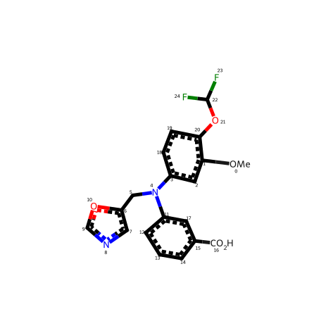 COc1cc(N(Cc2cnco2)c2cccc(C(=O)O)c2)ccc1OC(F)F